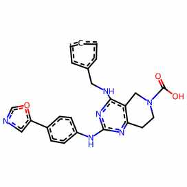 O=C(O)N1CCc2nc(Nc3ccc(-c4cnco4)cc3)nc(NCc3ccccc3)c2C1